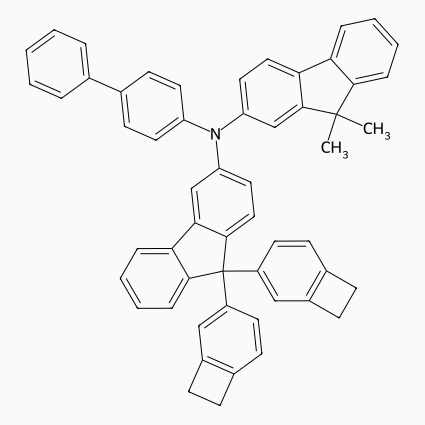 CC1(C)c2ccccc2-c2ccc(N(c3ccc(-c4ccccc4)cc3)c3ccc4c(c3)-c3ccccc3C4(c3ccc4c(c3)CC4)c3ccc4c(c3)CC4)cc21